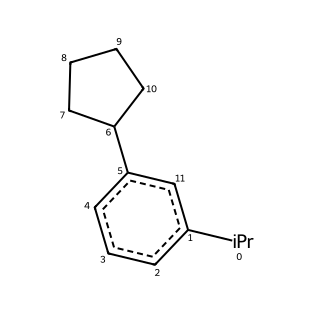 [CH2]C(C)c1cccc(C2CCCC2)c1